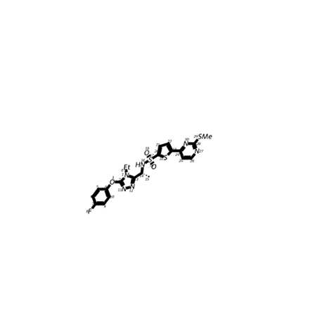 CCn1c(Oc2ccc(F)cc2)nnc1[C@@H](C)NS(=O)(=O)c1ccc(-c2ccnc(SC)n2)s1